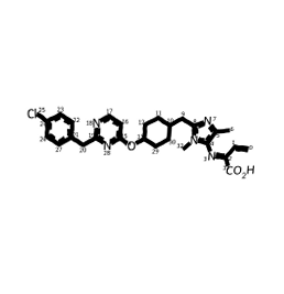 C=C/C(=N\c1c(C)nc(CC2CCC(Oc3ccnc(Cc4ccc(Cl)cc4)n3)CC2)n1C)C(=O)O